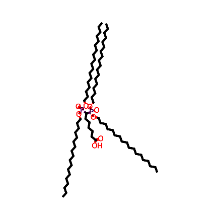 CCCCCCCCCCCCCCCCCCOP(=O)(OCCCCCCCCCCCCCCCCCC)C(CCCCCC(=O)O)P(=O)(OCCCCCCCCCCCCCCCCCC)OCCCCCCCCCCCCCCCCCC